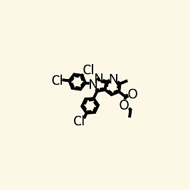 CCOC(=O)c1cc2c(-c3ccc(Cl)cc3)n(-c3ccc(Cl)cc3Cl)nc2nc1C